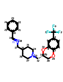 FC(F)(F)c1ccc2c(c1)O[C@@H](CN1CCC(C/N=C/c3ccccc3)CC1)CO2